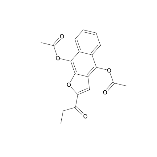 CCC(=O)c1cc2c(OC(C)=O)c3ccccc3c(OC(C)=O)c2o1